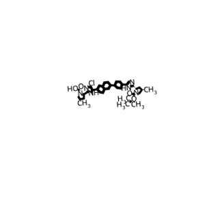 CC1CC(c2nc(Cl)c(-c3ccc4cc(-c5ccc(-c6cnc([C@@H]7C[C@H](C)CN7C(=O)OC(C)(C)C)[nH]6)cc5)ccc4c3)[nH]2)N(C(=O)O)C1